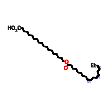 CC/C=C\C/C=C\C/C=C\CCCCCCCC(=O)OCCCCCCCCCCCCCCCCCCC(=O)O